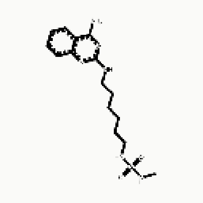 CNS(=O)(=O)NCCCCCCNc1nc(N)c2ccccc2n1